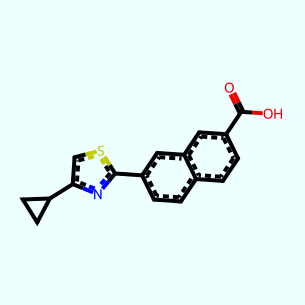 O=C(O)c1ccc2ccc(-c3nc(C4CC4)cs3)cc2c1